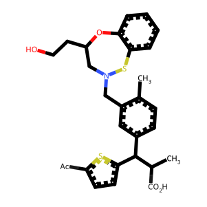 CC(=O)c1ccc(C(c2ccc(C)c(CN3CC(CCO)Oc4ccccc4S3)c2)C(C)C(=O)O)s1